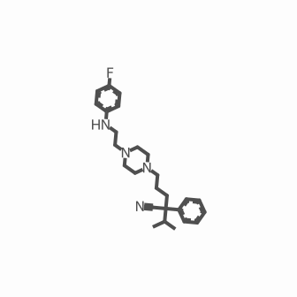 CC(C)C(C#N)(CCCN1CCN(CCNc2ccc(F)cc2)CC1)c1ccccc1